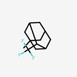 CC12CC3CC(C1)C(C(F)(F)F)C(C3)C2